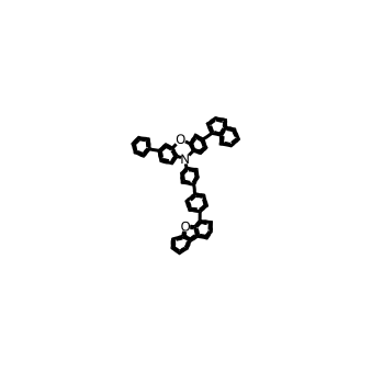 c1ccc(-c2ccc3c(c2)Oc2cc(-c4cccc5ccccc45)ccc2N3c2ccc(-c3ccc(-c4cccc5c4oc4ccccc45)cc3)cc2)cc1